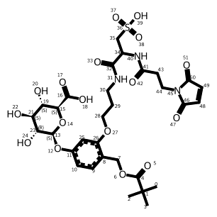 CC(C)(C)C(=O)OCc1ccc(O[C@@H]2O[C@H](C(=O)O)[C@@H](O)[C@H](O)[C@H]2O)cc1OCCCNC(=O)C(CS(=O)(=O)O)NC(=O)CCN1C(=O)C=CC1=O